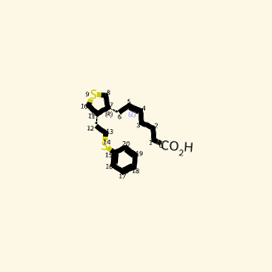 O=C(O)CCC/C=C\C[C@H]1CSC[C@H]1CCSc1ccccc1